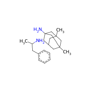 CC(N)Cc1ccccc1.CC12CC3CC(C)(C1)CC(N)(C3)C2